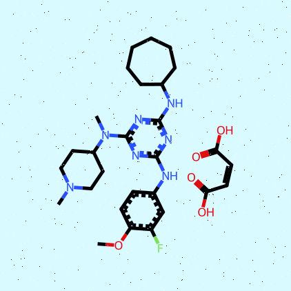 COc1ccc(Nc2nc(NC3CCCCCC3)nc(N(C)C3CCN(C)CC3)n2)cc1F.O=C(O)/C=C\C(=O)O